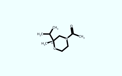 CC(=O)N1CCO[C@](C)(C(C)C)C1